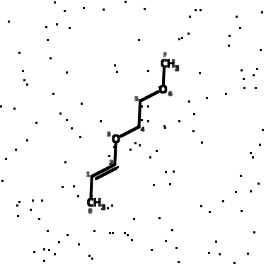 CC=COCCOC